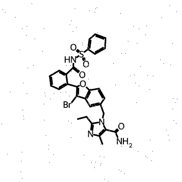 CCc1nc(C)c(C(N)=O)n1Cc1ccc2oc(-c3ccccc3C(=O)NS(=O)(=O)c3ccccc3)c(Br)c2c1